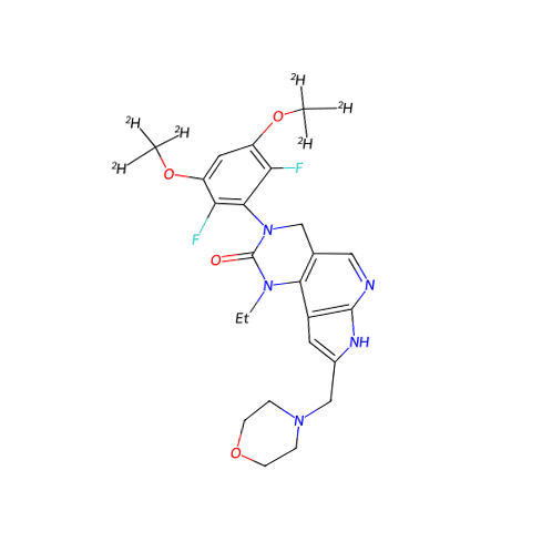 [2H]C([2H])([2H])Oc1cc(OC([2H])([2H])[2H])c(F)c(N2Cc3cnc4[nH]c(CN5CCOCC5)cc4c3N(CC)C2=O)c1F